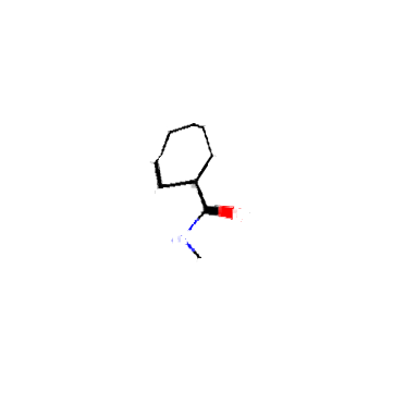 CNC(=O)[C]1CCCCC1